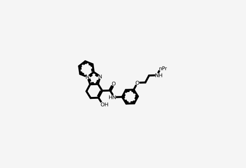 CCCNCCOc1cccc(NC(=O)C2=C(O)CCc3c2nc2ccccn32)c1